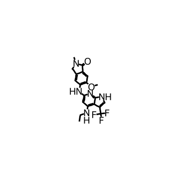 CCNc1cc(Nc2cc3c(cc2OC)C(=O)N(C)C3)nc2[nH]cc(C(F)(F)F)c12